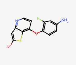 Nc1ccc(Oc2ccnc3cc(Br)sc23)c(F)c1